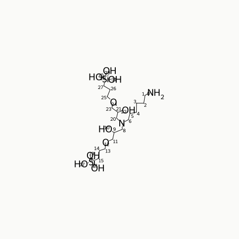 NCCCCCCN(CC(O)COCCC[Si](O)(O)O)CC(O)COCCC[Si](O)(O)O